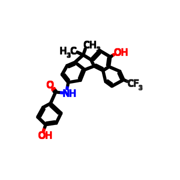 CC1(C)c2ccc(NC(=O)c3ccc(O)cc3)cc2-c2c1cc(O)c1cc(C(F)(F)F)ccc21